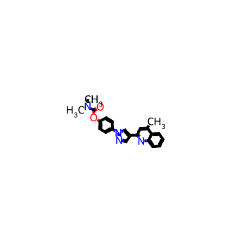 Cc1cc(-c2cnn(-c3ccc(OC(=O)N(C)C)cc3)c2)nc2ccccc12